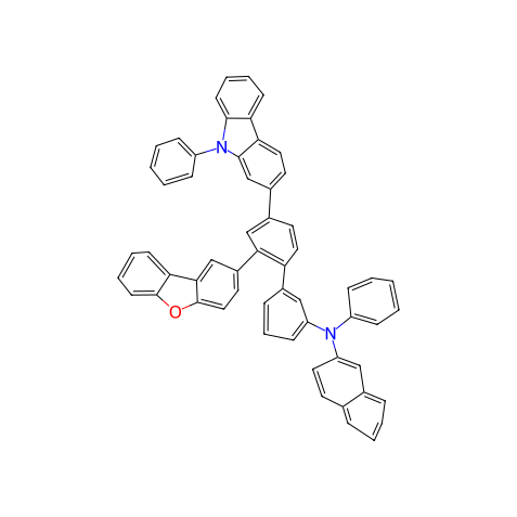 c1ccc(N(c2cccc(-c3ccc(-c4ccc5c6ccccc6n(-c6ccccc6)c5c4)cc3-c3ccc4oc5ccccc5c4c3)c2)c2ccc3ccccc3c2)cc1